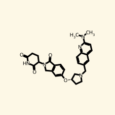 CN(C)c1ccc2cc(CN3CC[C@H](Oc4ccc5c(c4)CN(C4CCC(=O)NC4=O)C5=O)C3)ccc2n1